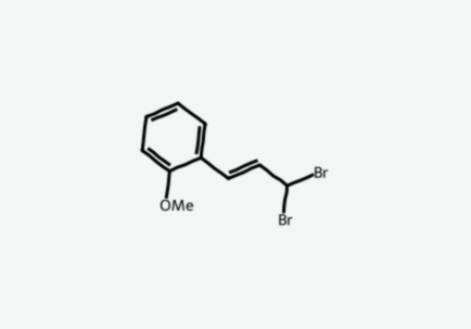 COc1ccccc1C=CC(Br)Br